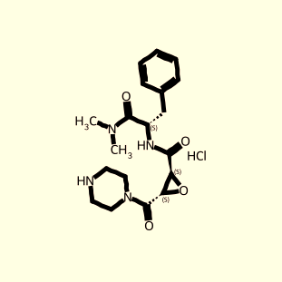 CN(C)C(=O)[C@H](Cc1ccccc1)NC(=O)[C@H]1O[C@@H]1C(=O)N1CCNCC1.Cl